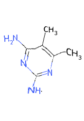 Cc1nc([NH])nc(N)c1C